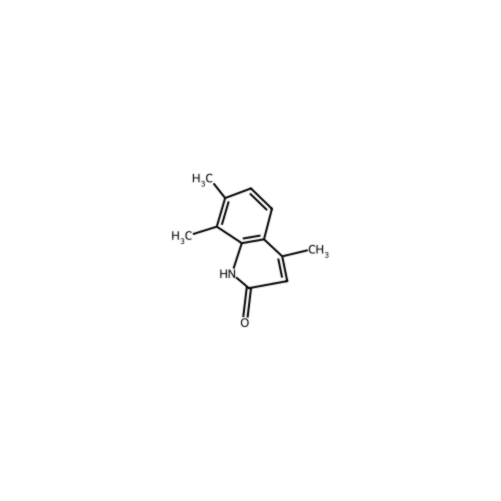 Cc1ccc2c(C)cc(=O)[nH]c2c1C